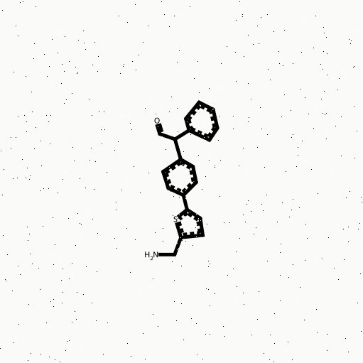 NCc1ccc(-c2ccc(C(C=O)c3ccccc3)cc2)s1